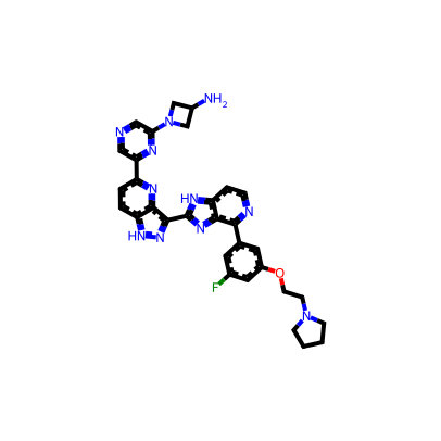 NC1CN(c2cncc(-c3ccc4[nH]nc(-c5nc6c(-c7cc(F)cc(OCCN8CCCC8)c7)nccc6[nH]5)c4n3)n2)C1